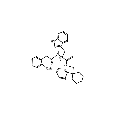 COc1ccccc1CC(=O)N[C@@](C)(Cc1c[nH]c2ccccc12)C(=O)NCC1(c2ccccn2)CCCCC1